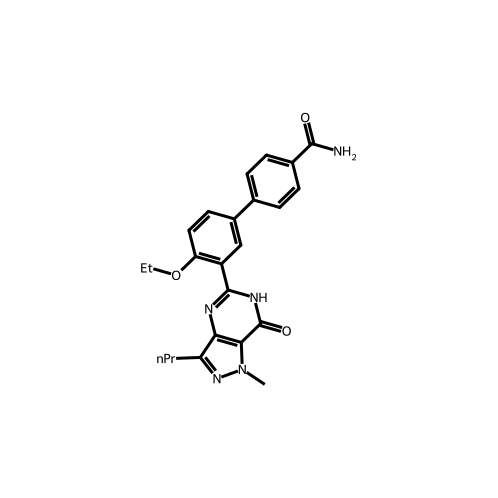 CCCc1nn(C)c2c(=O)[nH]c(-c3cc(-c4ccc(C(N)=O)cc4)ccc3OCC)nc12